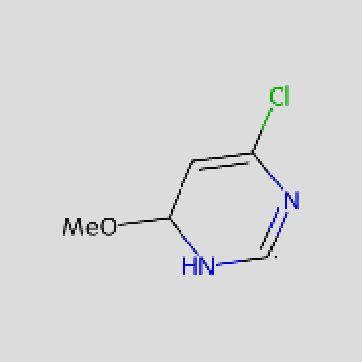 COC1C=C(Cl)N=[C]N1